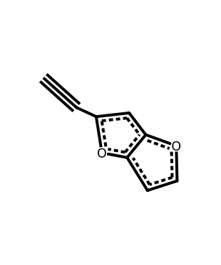 C#Cc1cc2occc2o1